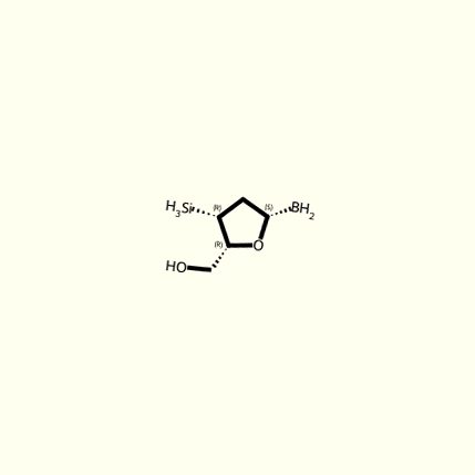 B[C@H]1C[C@@H]([SiH3])[C@@H](CO)O1